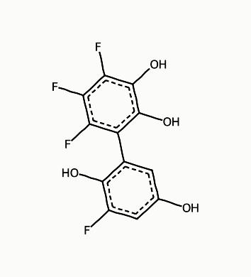 Oc1cc(F)c(O)c(-c2c(O)c(O)c(F)c(F)c2F)c1